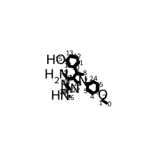 CCOc1ccc(-n2cc(-c3cccc(O)c3)c3c(N)ncnc32)cc1.CNC